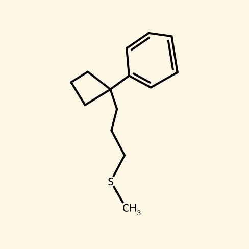 CSCCCC1(c2ccccc2)CCC1